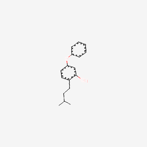 CC(C)CCc1ccc(Oc2ccccc2)cc1O